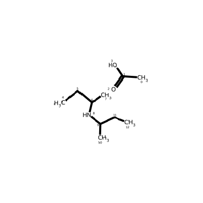 CC(=O)O.CCC(C)NC(C)CC